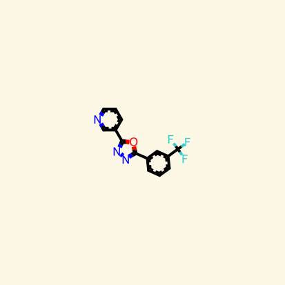 FC(F)(F)c1cccc(-c2nnc(-c3cccnc3)o2)c1